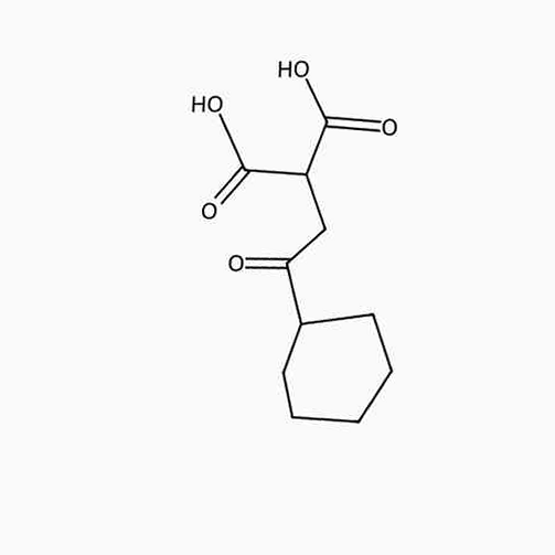 O=C(CC(C(=O)O)C(=O)O)C1CCCCC1